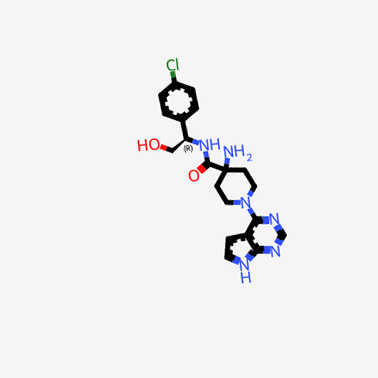 NC1(C(=O)N[C@@H](CO)c2ccc(Cl)cc2)CCN(c2ncnc3[nH]ccc23)CC1